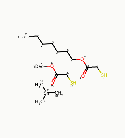 CCCCCCCCCCCCCCCCOC(=O)CS.CCCCCCCCCCOC(=O)CS.[CH3][Sn]([CH3])[CH3]